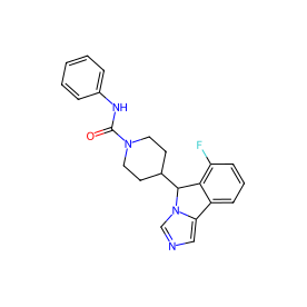 O=C(Nc1ccccc1)N1CCC(C2c3c(F)cccc3-c3cncn32)CC1